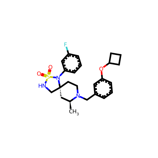 C[C@H]1C[C@]2(CCN1Cc1cccc(OC3CCC3)c1)CNS(=O)(=O)N2c1cccc(F)c1